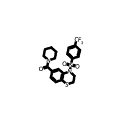 O=C(c1ccc2c(c1)N(S(=O)(=O)c1ccc(C(F)(F)F)cc1)CCS2)N1CCCCC1